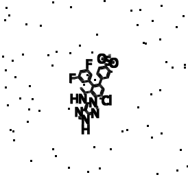 CC(Nc1ncnc2[nH]cnc12)c1cc(Cl)cc(-c2ccc(S(C)(=O)=O)cc2)c1-c1cc(F)cc(F)c1